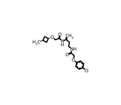 C=C(CCNC(=O)COc1ccc(Cl)cc1)NC(=O)CO[C@H]1C[C@H](C)C1